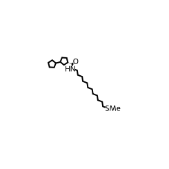 CSCCCCCCCCCCCCNC(=O)[C@H]1CCC(C2CCCC2)C1